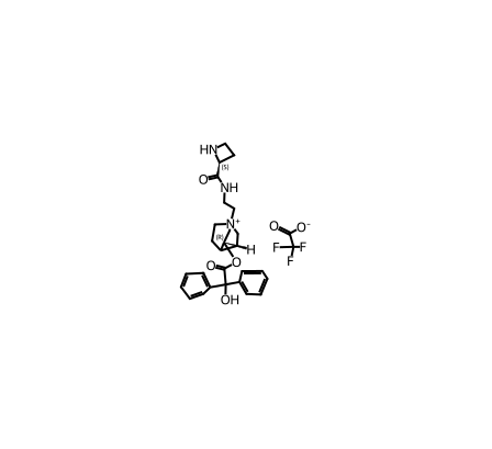 O=C(NCC[N+]12CCC(CC1)[C@@H](OC(=O)C(O)(c1ccccc1)c1ccccc1)C2)[C@@H]1CCN1.O=C([O-])C(F)(F)F